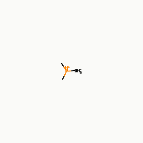 [BH3-][PH+](C)C